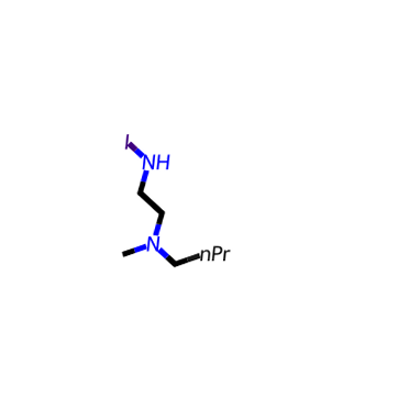 CCCCN(C)CCNI